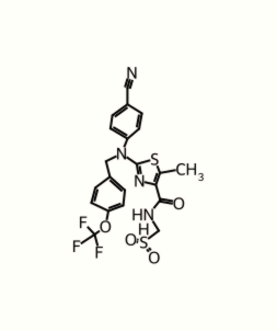 Cc1sc(N(Cc2ccc(OC(F)(F)F)cc2)c2ccc(C#N)cc2)nc1C(=O)NC[SH](=O)=O